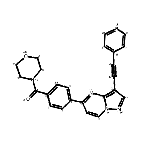 O=C(c1ccc(-c2ccn3ncc(C#Cc4ccncc4)c3n2)cc1)N1CCOCC1